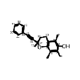 Cc1c(C)c2c(c(C)c1O)CCC(C)(C#Cc1ccccc1)O2